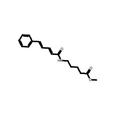 COC(=O)CCCCNC(=O)/C=C/C=C/c1ccccc1